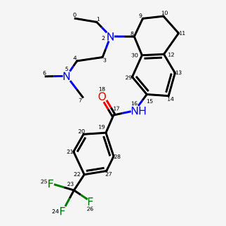 CCN(CCN(C)C)C1CCCc2ccc(NC(=O)c3ccc(C(F)(F)F)cc3)cc21